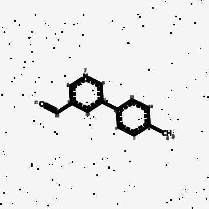 Cc1ccc(-c2cncc(C=O)c2)cc1